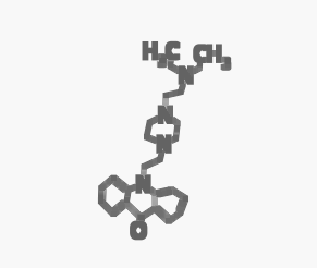 CCN(CC)CCN1CCN(CCn2c3ccccc3c(=O)c3ccccc32)CC1